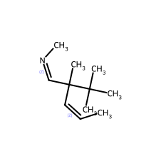 C/C=C\C(C)(/C=N\C)C(C)(C)C